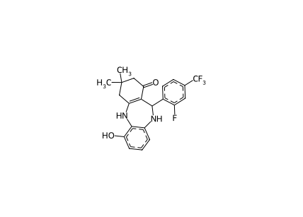 CC1(C)CC(=O)C2=C(C1)Nc1c(O)cccc1NC2c1ccc(C(F)(F)F)cc1F